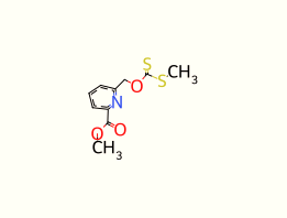 COC(=O)c1cccc(COC(=S)SC)n1